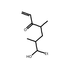 C=CC(=O)C(C)CC(C)C(O)CC